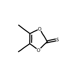 Cc1oc(=S)oc1C